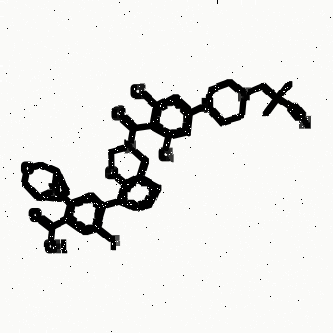 CC(C)(C#N)CN1CCN(c2cc(Cl)c(C(=O)N3COc4c(cccc4-c4cc(N5C6CCC5COC6)c(C(=O)O)cc4F)C3)c(Cl)c2)CC1